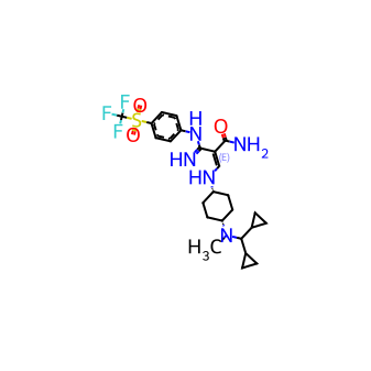 CN(C(C1CC1)C1CC1)[C@H]1CC[C@@H](N/C=C(\C(=N)Nc2ccc(S(=O)(=O)C(F)(F)F)cc2)C(N)=O)CC1